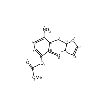 COC(=O)OC1=CC=C([N+](=O)[O-])C(CC2OC=CO2)C1=O